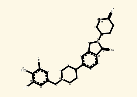 O=C1CCC(N2Cc3cc(C4CCN(Cc5cc(F)c(O)c(F)c5)CC4)ccc3C2=O)CN1